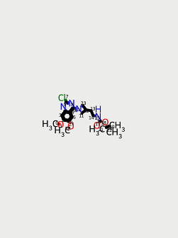 COc1cc2nc(Cl)nc(N3CC(CCNC(=O)OC(C)(C)C)C3)c2cc1OC